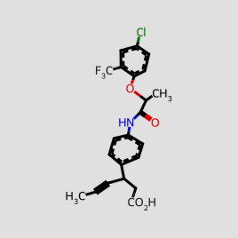 CC#CC(CC(=O)O)c1ccc(NC(=O)C(C)Oc2ccc(Cl)cc2C(F)(F)F)cc1